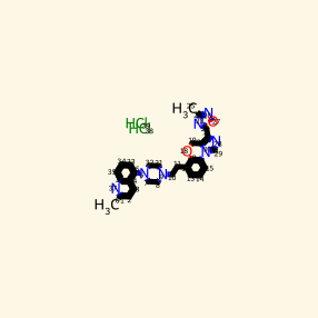 Cc1ccc2c(N3CCN(CCc4cccc5c4OCc4c(-c6nc(C)no6)ncn4-5)CC3)cccc2n1.Cl.Cl